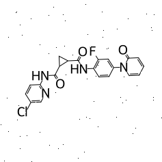 O=C(Nc1ccc(Cl)cn1)C1CC1C(=O)Nc1ccc(-n2ccccc2=O)cc1F